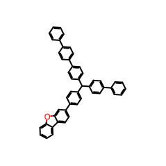 c1ccc(-c2ccc(-c3ccc(C(c4ccc(-c5ccccc5)cc4)c4ccc(-c5ccc6c(c5)oc5ccccc56)cc4)cc3)cc2)cc1